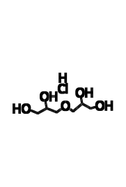 Cl.OCC(O)COCC(O)CO